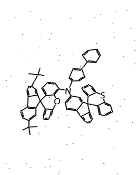 CC(C)(C)c1ccc2c(c1)C1(c3ccccc3Oc3c(N(c4ccc(-c5ccccc5)cc4)c4ccc5c(c4)C4(c6ccccc6Sc6ccccc64)c4ccccc4-5)cccc31)c1cc(C(C)(C)C)ccc1-2